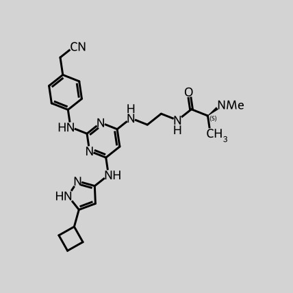 CN[C@@H](C)C(=O)NCCNc1cc(Nc2cc(C3CCC3)[nH]n2)nc(Nc2ccc(CC#N)cc2)n1